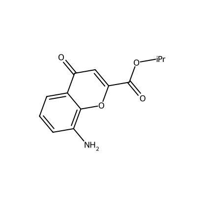 CC(C)OC(=O)c1cc(=O)c2cccc(N)c2o1